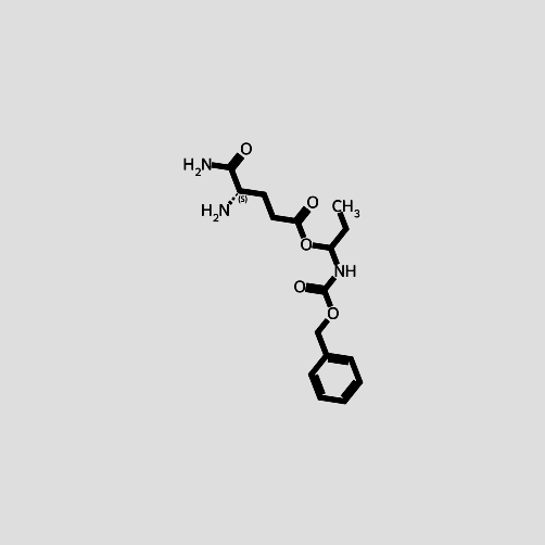 CCC(NC(=O)OCc1ccccc1)OC(=O)CC[C@H](N)C(N)=O